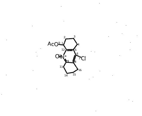 CC(=O)OC1CCCc2c(Cl)c3c([n+]([O-])c21)CCCC3